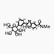 CNC(=O)c1ccc2[nH]c(-c3cccc([C@H]4O[C@H](CO)[C@@H](O)[C@H](O)[C@H]4O)c3)nc2c1